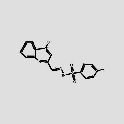 Cc1ccc(S(=O)(=O)N/N=C/c2c[n+]([O-])c3ccccc3n2)cc1